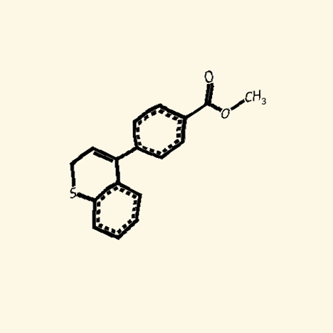 COC(=O)c1ccc(C2=CCSc3ccccc32)cc1